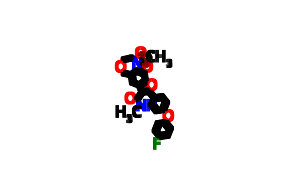 CNC(=O)c1c(-c2ccc(Oc3ccc(F)cc3)cc2)oc2cc3c(cc12)COCCN3S(C)(=O)=O